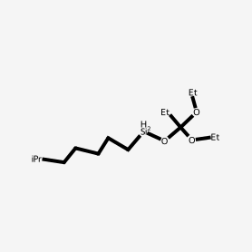 CCOC(CC)(OCC)O[SiH2]CCCCCC(C)C